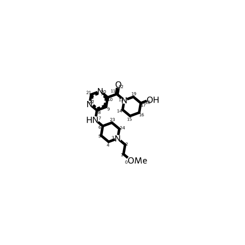 COCCN1CCC(Nc2cc(C(=O)N3CCCC(O)C3)ncn2)CC1